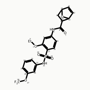 CCOc1cc(NC(=O)C2CC3C=CC2O3)ccc1S(=O)(=O)Nc1cccc(OC(F)(F)F)c1